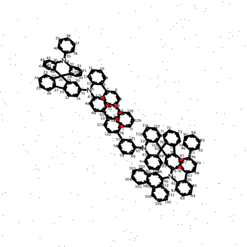 c1ccc(-c2ccc(-c3ccccc3N(c3ccc4c(c3)C3(c5ccccc5-4)c4ccccc4N(c4ccccc4)c4ccccc43)c3ccc4c(ccc5cc(-c6cccc(N7c8ccccc8C8(c9ccccc9-c9ccc(N(c%10ccccc%10-c%10ccc(-c%11ccccc%11)cc%10)c%10cc%11ccccc%11c%11ccccc%10%11)cc98)c8ccccc87)c6)ccc54)c3)cc2)cc1